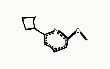 COc1cccc(C2CCC2)n1